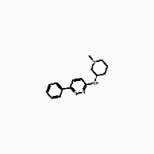 CN1CCC[C@@H](Nc2ccc(-c3ccccc3)nn2)C1